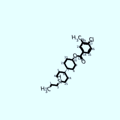 CCC[SiH]1CCC([C@H]2CC[C@H](OC(=O)c3ccc(Cl)c(C)c3)CC2)CC1